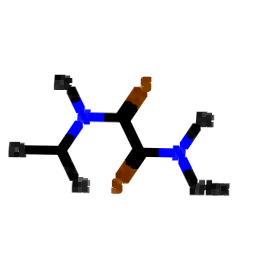 CCCCCCN(CC)C(=S)C(=S)N(CC)C(CC)CC